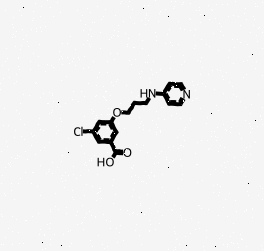 O=C(O)c1cc(Cl)cc(OCCCNc2ccncc2)c1